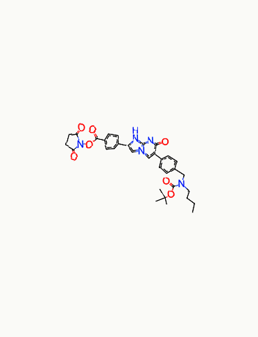 CCCCN(Cc1ccc(-c2cn3cc(-c4ccc(C(=O)ON5C(=O)CCC5=O)cc4)[nH]c3nc2=O)cc1)C(=O)OC(C)(C)C